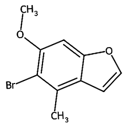 COc1cc2occc2c(C)c1Br